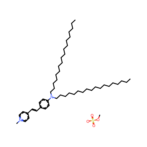 CCCCCCCCCCCCCCCCCCN(CCCCCCCCCCCCCCCCCC)c1ccc(C=Cc2cc[n+](C)cc2)cc1.COS(=O)(=O)[O-]